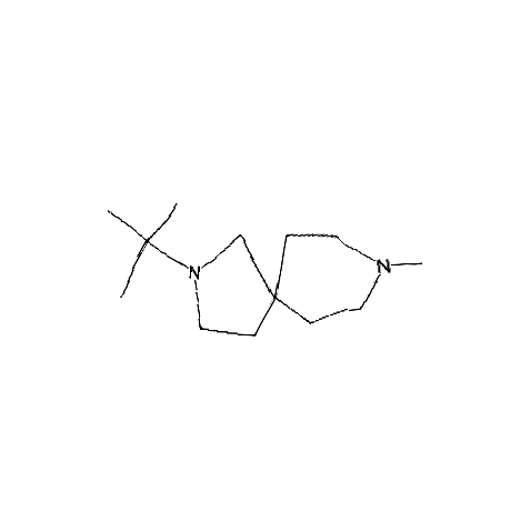 CN1CCC2(CC1)CCN(C(C)(C)C)C2